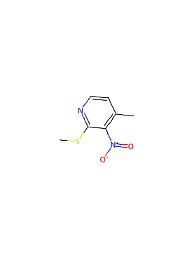 CSc1nccc(C)c1[N+](=O)[O-]